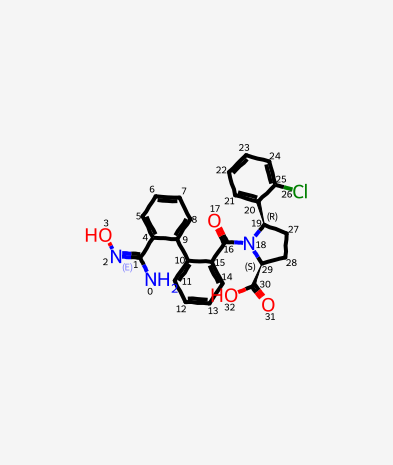 N/C(=N/O)c1ccccc1-c1ccccc1C(=O)N1[C@@H](c2ccccc2Cl)CC[C@H]1C(=O)O